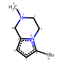 CN1CCn2c(ccc2C(C)(C)C)C1